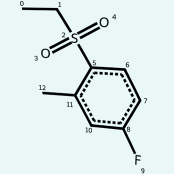 CCS(=O)(=O)c1ccc(F)cc1C